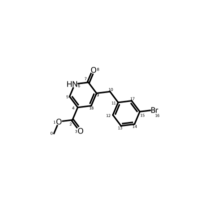 COC(=O)c1c[nH]c(=O)c(Cc2cccc(Br)c2)c1